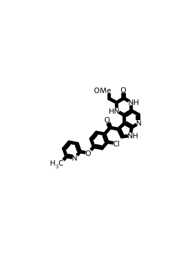 COCC1Nc2c(cnc3[nH]cc(C(=O)c4ccc(Oc5cccc(C)n5)cc4Cl)c23)NC1=O